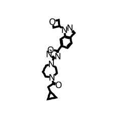 O=C(CC1CC1)N1CCCN(c2noc(-c3ccc4cnn(C5COC5)c4c3)n2)CC1